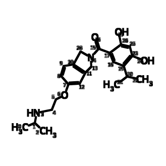 CC(C)NCCOc1ccc2c(c1)CN(C(=O)c1cc(C(C)C)c(O)cc1O)C2